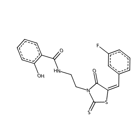 O=C(NCCN1C(=O)C(=Cc2cccc(F)c2)SC1=S)c1ccccc1O